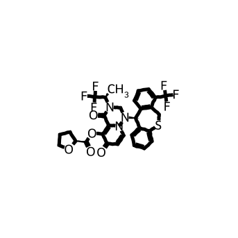 C[C@@H](N1CN([C@@H]2c3ccccc3SCc3c2cccc3C(F)(F)F)n2ccc(=O)c(OC(=O)[C@@H]3CCCO3)c2C1=O)C(F)(F)F